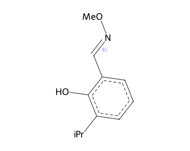 CO/N=C/c1cccc(C(C)C)c1O